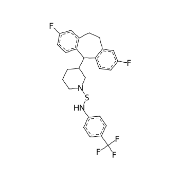 Fc1ccc2c(c1)CCc1cc(F)ccc1C2C1CCCN(SNc2ccc(C(F)(F)F)cc2)C1